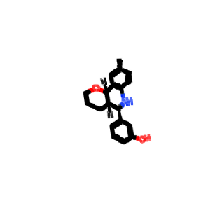 Cc1ccc2c(c1)[C@H]1OCCC[C@H]1[C@H](c1cccc(O)c1)N2